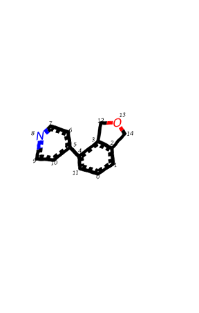 c1cc2c(c(-c3ccncc3)c1)COC2